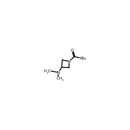 CN(C)C1CN(C(=O)C(C)(C)C)C1